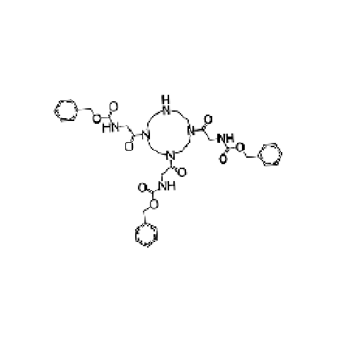 O=C(NCC(=O)N1CCNCCN(C(=O)CNC(=O)OCc2ccccc2)CCN(C(=O)CNC(=O)OCc2ccccc2)CC1)OCc1ccccc1